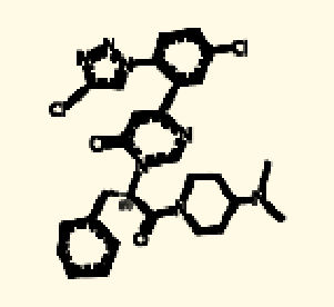 CN(C)C1CCN(C(=O)[C@H](Cc2ccccc2)n2cnc(-c3cc(Cl)ccc3-n3cc(Cl)nn3)cc2=O)CC1